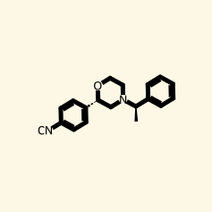 [C-]#[N+]c1ccc([C@H]2CN([C@H](C)c3ccccc3)CCO2)cc1